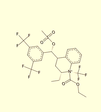 CCOC(=O)[N@+]1(C(F)(F)F)c2ccccc2C([C@@H](OS(C)(=O)=O)c2cc(C(F)(F)F)cc(C(F)(F)F)c2)C[C@H]1CC